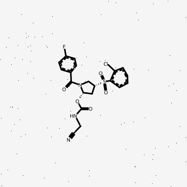 N#CCNC(=O)O[C@H]1C[C@@H](S(=O)(=O)c2ccccc2Cl)CN1C(=O)c1ccc(F)cc1